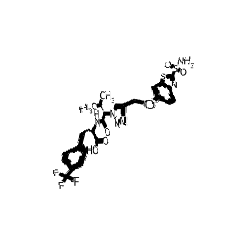 CC(C)[C@@H](C(=O)N[C@H](Cc1ccc(C(F)(F)F)cc1)C(=O)O)n1cc(COc2ccc3nc(S(N)(=O)=O)sc3c2)nn1